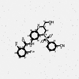 N#Cc1cccc(S(=O)(=O)N2C[C@H](CO)Oc3ccc(NC(=O)c4c(F)cccc4F)cc32)c1